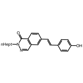 CCCCCCCn1ncc2cc(C=Cc3ccc(O)cc3)ccc2c1=O